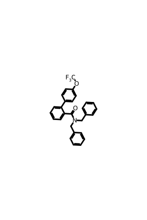 O=C(c1ccccc1-c1ccc(OC(F)(F)F)cc1)N(Cc1ccccc1)Cc1ccccc1